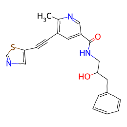 Cc1ncc(C(=O)NCC(O)Cc2ccccc2)cc1C#Cc1cncs1